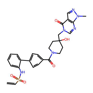 C=CS(=O)(=O)Nc1ccccc1-c1ccc(C(=O)N2CCC(O)(Cn3cnc4c(cnn4C)c3=O)CC2)cc1